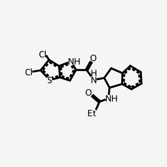 CCC(=O)NC1c2ccccc2CC1NC(=O)c1cc2sc(Cl)c(Cl)c2[nH]1